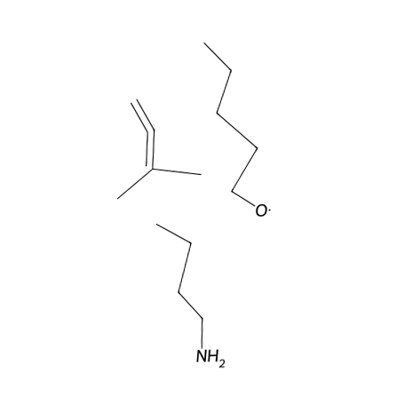 C=C=C(C)C.CCCCC[O].CCCCN